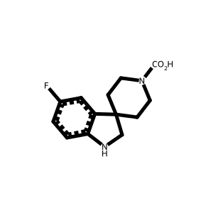 O=C(O)N1CCC2(CC1)CNc1ccc(F)cc12